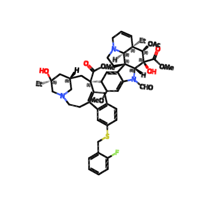 CC[C@]1(O)C[C@H]2CN(CCC3=C(Cc4ccc(SCc5ccccc5F)cc43)[C@@](C(=O)OC)(C3C=C4C(=CC3OC)N(C=O)[C@H]3[C@@](O)(C(=O)OC)[C@H](OC(C)=O)[C@]5(CC)C=CCN6CC[C@]43[C@@H]65)C2)C1